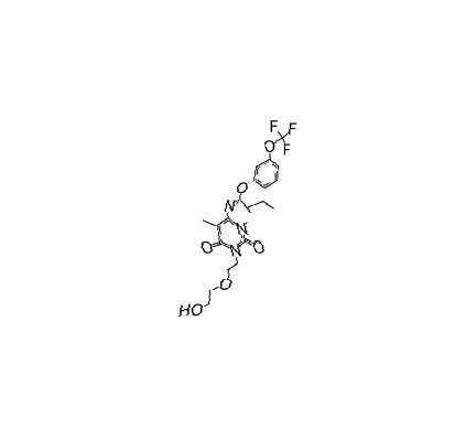 CCC(C)/C(=N\c1c(C)c(=O)n(CCOCCO)c(=O)n1C)Oc1cccc(OC(F)(F)F)c1